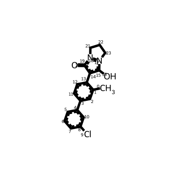 Cc1cc(-c2cccc(Cl)c2)ccc1-c1c(O)n2n(c1=O)CCC2